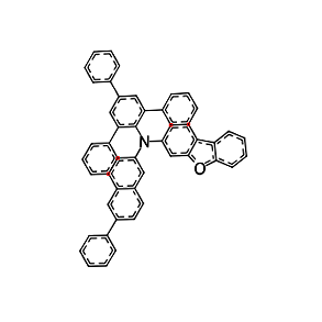 c1ccc(-c2cc(-c3ccccc3)c(N(c3ccc4cc(-c5ccccc5)ccc4c3)c3ccc4c(c3)oc3ccccc34)c(-c3ccccc3)c2)cc1